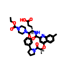 CCOC(=O)N1CCN(C(=O)[C@H](CCC(=O)O)NC(=O)c2cc(O[C@H](C)C(=O)N3CCCC3c3ccccc3)c3ccc(C)cc3n2)CC1